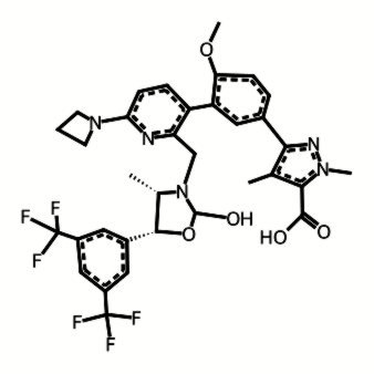 COc1ccc(-c2nn(C)c(C(=O)O)c2C)cc1-c1ccc(N2CCC2)nc1CN1C(O)O[C@H](c2cc(C(F)(F)F)cc(C(F)(F)F)c2)[C@@H]1C